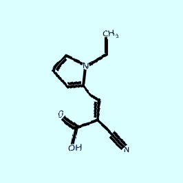 CCn1cccc1C=C(C#N)C(=O)O